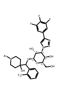 CC(=O)N1CCC(O)(C(S[C@@H]2O[C@H](CO)[C@H](O)[C@H](n3cc(-c4cc(F)c(F)c(F)c4)nn3)[C@H]2O)c2ccccc2C(F)(F)F)CC1